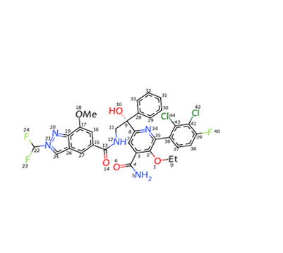 CCOc1c(C(N)=O)cc([C@@](O)(CNC(=O)c2cc(OC)c3nn(C(F)F)cc3c2)c2ccccc2)nc1-c1ccc(F)c(Cl)c1Cl